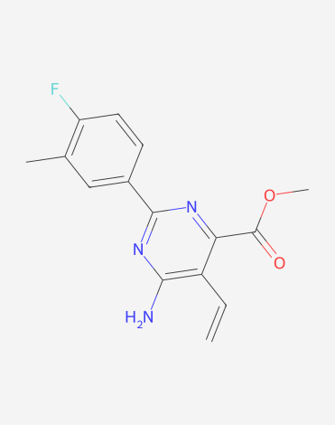 C=Cc1c(N)nc(-c2ccc(F)c(C)c2)nc1C(=O)OC